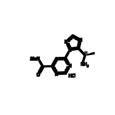 CNC(=O)c1cc(-n2ncnc2[C@H](C)N)ncn1.Cl